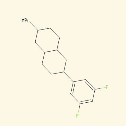 CCCC1CCC2CC(c3cc(F)cc(F)c3)CCC2C1